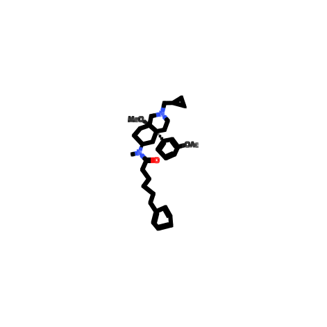 CO[C@]12CC[C@H](N(C)C(=O)CCCCCc3ccccc3)C[C@]1(c1cccc(OC(C)=O)c1)CCN(CC1CC1)C2